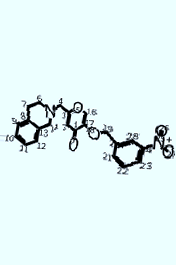 O=c1cc(CN2CCc3ccccc3C2)occ1OCc1cccc([N+](=O)[O-])c1